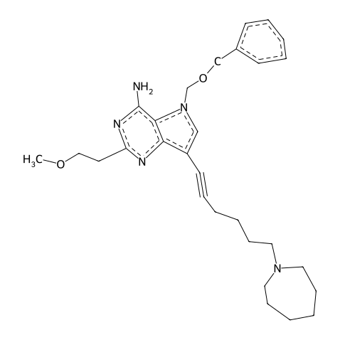 COCCc1nc(N)c2c(n1)c(C#CCCCCN1CCCCCC1)cn2COCc1ccccc1